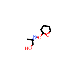 C/C(CO)=N/OC1CCCCO1